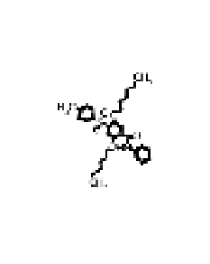 CCCCCCOc1cc(S(=O)(=O)c2ccc(C)cc2)c(OCCCCCC)cc1C(=O)Nc1ccccc1